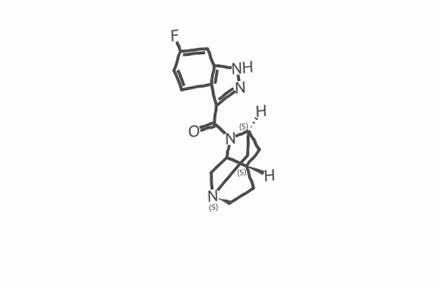 O=C(c1n[nH]c2cc(F)ccc12)N1C2C[N@]3CC[C@H]2C[C@H]1C3